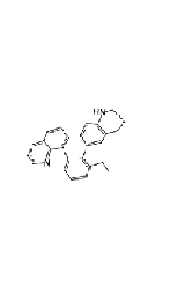 CCc1cccc(-c2cccc3cccnc23)c1-c1ccc2c(c1)CCCN2